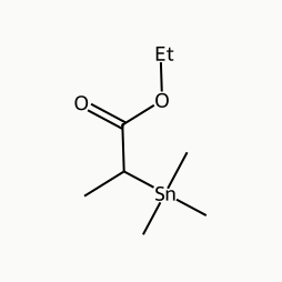 CCOC(=O)[CH](C)[Sn]([CH3])([CH3])[CH3]